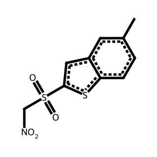 Cc1ccc2sc(S(=O)(=O)C[N+](=O)[O-])cc2c1